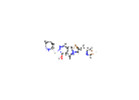 Cc1c2c(=O)n(Cc3ccccn3)ncc2c2sc(Cc3cscn3)cn12